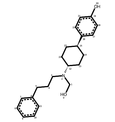 OCN(CCCc1ccccc1)[C@H]1CC[C@H](c2ccc(O)cc2)CC1